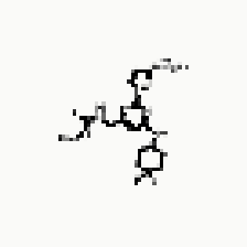 CCOC(=O)c1ccn(-c2nc(CNC(=O)OC(C)(C)C)cc(NC3CCC(F)(F)CC3)n2)n1